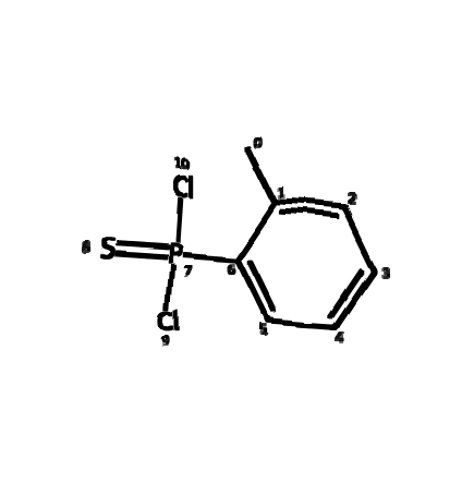 Cc1ccccc1P(=S)(Cl)Cl